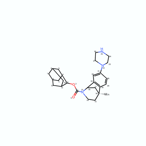 O=C(OC1C2CC3CC(C2)CC1C3)N1CC[C@H]2CC1c1cc(N3CCNCC3)ccc12